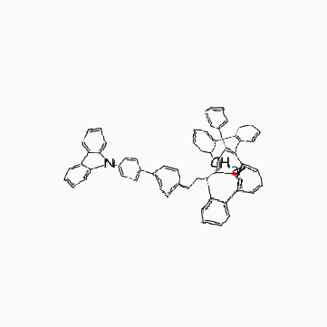 CC1CC=CC=C1C1(c2ccccc2)C2=C(C=CCC2)c2ccc(C(CCc3ccc(-c4ccc(-n5c6ccccc6c6ccccc65)cc4)cc3)c3ccccc3-c3ccccc3)cc21